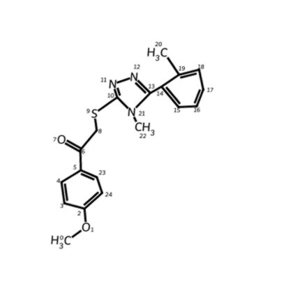 COc1ccc(C(=O)CSc2nnc(-c3ccccc3C)n2C)cc1